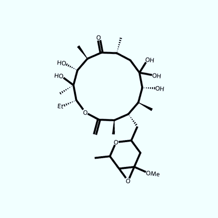 C=C1O[C@H](CC)[C@@](C)(O)[C@H](O)[C@@H](C)C(=O)[C@H](C)CC(O)(O)[C@H](O)[C@@H](C)[C@H](CC2CC3(OC)OC3C(C)O2)[C@H]1C